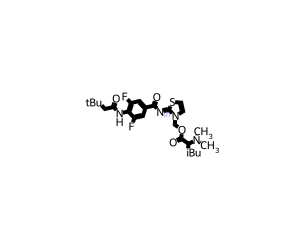 CCC(C)C(C(=O)OCn1ccs/c1=N\C(=O)c1cc(F)c(NC(=O)CC(C)(C)C)c(F)c1)N(C)C